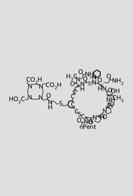 CCCCCC(=O)N[C@H]1CSCc2cc(CSCCNC(=O)CN3CCN(CC(=O)O)CCN(CC(=O)O)CCN(CC(=O)O)CC3)cc(c2)CSC[C@@H](C(=O)N(C)CC(N)=O)NC(=O)[C@H](Cc2ccccc2)NC(=O)[C@H](CCC(N)=O)NC(=O)[C@H]([C@@H](C)O)NC(=O)[C@@H]2CCCN2C(=O)[C@@H]2CCCN2C1=O